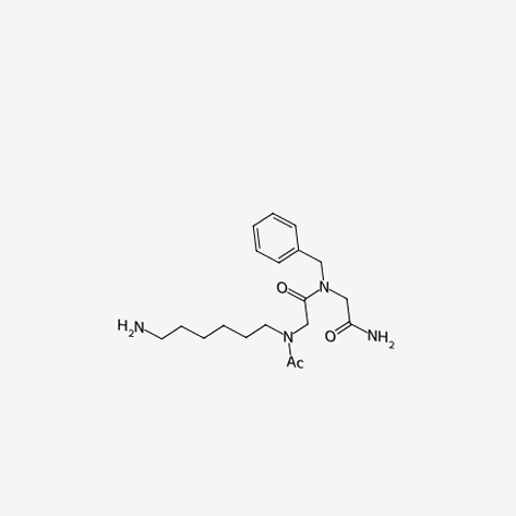 CC(=O)N(CCCCCCN)CC(=O)N(CC(N)=O)Cc1ccccc1